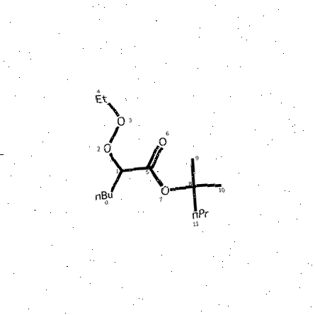 CCCCC(OOCC)C(=O)OC(C)(C)CCC